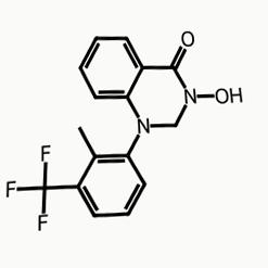 Cc1c(N2CN(O)C(=O)c3ccccc32)cccc1C(F)(F)F